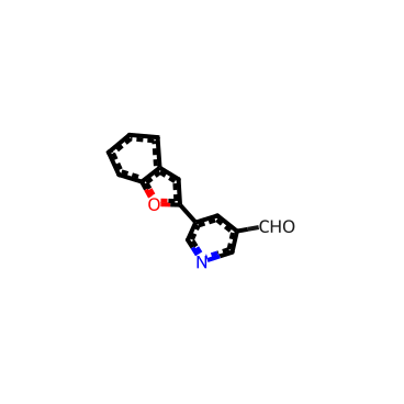 O=Cc1cncc(-c2cc3ccccc3o2)c1